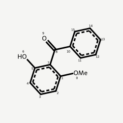 COc1cccc(O)c1C(=O)c1ccccc1